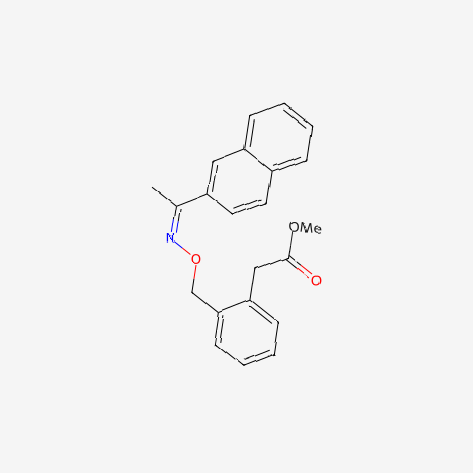 COC(=O)Cc1ccccc1CO/N=C(/C)c1ccc2ccccc2c1